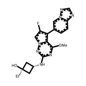 CC[C@]1(O)C[C@H](Nc2nc(OC)c3c(-c4ccc5ncnn5c4)c(F)cn3n2)C1